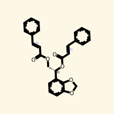 O=C(/C=C/c1ccccc1)OC[C@H](OC(=O)/C=C/c1ccccc1)c1cccc2c1OCO2